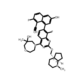 C#Cc1c(F)ccc2cc(O)cc(-c3ccc4c(N5CCOCC(C)(O)C5)nc(OC[C@]56CCC[C@H]5N(C)CCC6)nc4c3F)c12